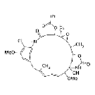 COc1cc2cc(c1Cl)NC(=O)CC(OC(=O)C(C)C)C1(C)OC1C(C)C1CC(O)(NC(=O)O1)C(OC)/C=C/C=C(\C)C2